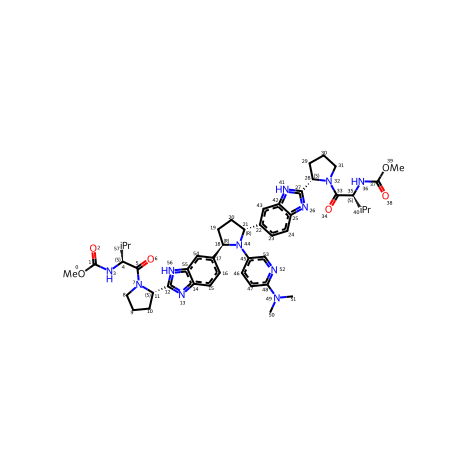 COC(=O)N[C@H](C(=O)N1CCC[C@H]1c1nc2ccc([C@H]3CC[C@H](c4ccc5nc([C@@H]6CCCN6C(=O)[C@@H](NC(=O)OC)C(C)C)[nH]c5c4)N3c3ccc(N(C)C)nc3)cc2[nH]1)C(C)C